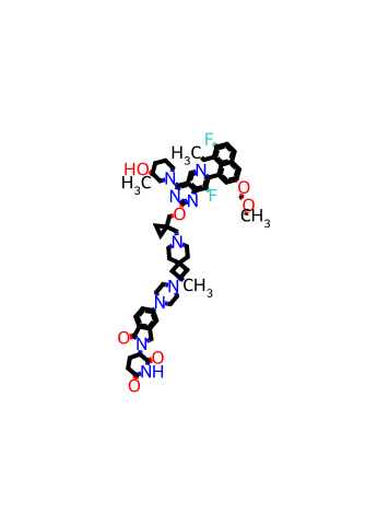 CCc1c(F)ccc2cc(OCOC)cc(-c3ncc4c(N5CCC[C@@](C)(O)C5)nc(OCC5(CN6CCC7(CC6)CC(C)(N6CCN(c8ccc9c(c8)CN(C8CCC(=O)NC8=O)C9=O)CC6)C7)CC5)nc4c3F)c12